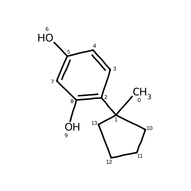 CC1(c2ccc(O)cc2O)CCCC1